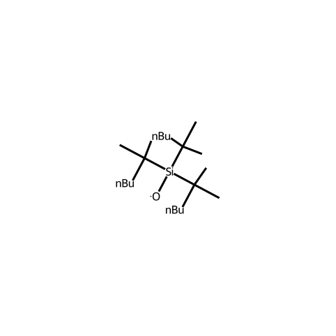 CCCCC(C)(C)[Si]([O])(C(C)(C)CCCC)C(C)(C)CCCC